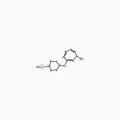 CCC1C=CC=NC(OC2CCC(C(=O)O)CC2)=C1